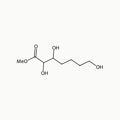 COC(=O)C(O)C(O)CCCCO